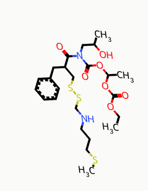 CCOC(=O)OC(C)OC(=O)N(CC(C)O)C(=O)C(CSSCNCCCSC)Cc1ccccc1